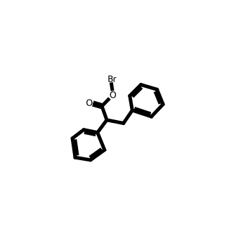 O=C(OBr)C(Cc1ccccc1)c1ccccc1